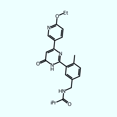 CCOc1ccc(-c2cc(=O)[nH]c(-c3cc(CNC(=O)C(C)C)ccc3C)n2)cn1